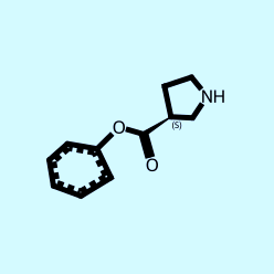 O=C(Oc1ccccc1)[C@H]1CCNC1